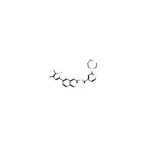 Cc1cc(-c2ccc3cnc(NC(=O)c4ccnc(N5CCCOCC5)c4)cc3c2)n(C)c1C